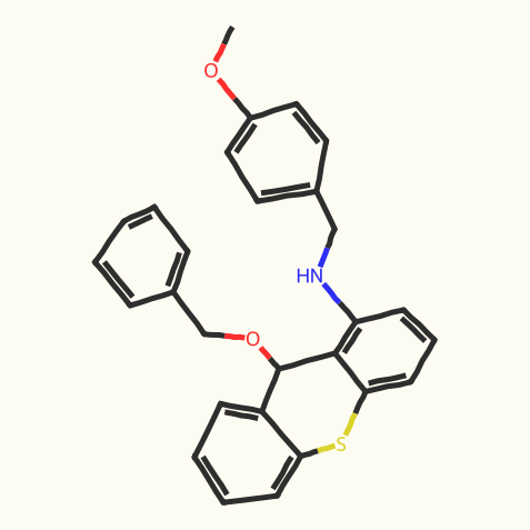 COc1ccc(CNc2cccc3c2C(OCc2ccccc2)c2ccccc2S3)cc1